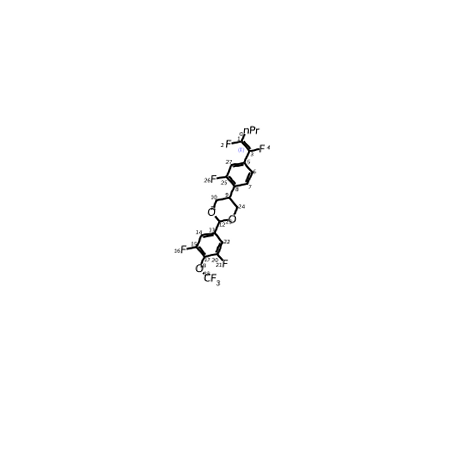 CCC/C(F)=C(\F)c1ccc(C2COC(c3cc(F)c(OC(F)(F)F)c(F)c3)OC2)c(F)c1